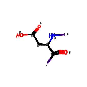 O=C(O)C[C@@H](NI)C(=O)I